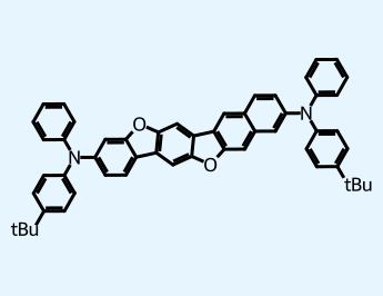 CC(C)(C)c1ccc(N(c2ccccc2)c2ccc3cc4c(cc3c2)oc2cc3c(cc24)oc2cc(N(c4ccccc4)c4ccc(C(C)(C)C)cc4)ccc23)cc1